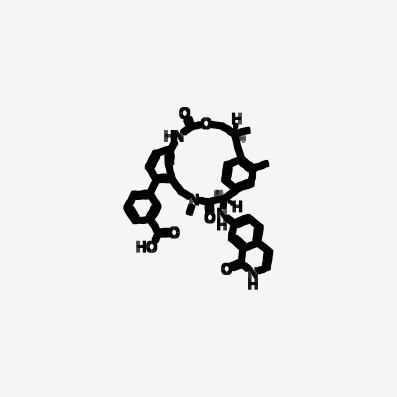 Cc1cc2ccc1[C@@H](C)COC(=O)Nc1ccc(-c3cccc(C(=O)O)c3)c(c1)CN(C)C(=O)[C@@H]2Nc1ccc2cc[nH]c(=O)c2c1